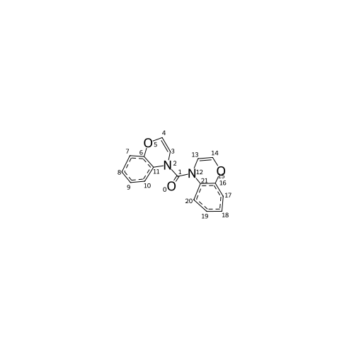 O=C(N1C=COc2ccccc21)N1C=COc2ccccc21